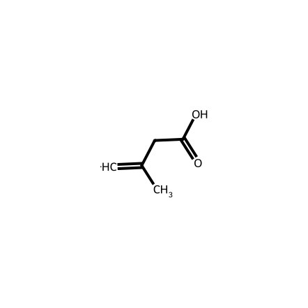 [CH]=C(C)CC(=O)O